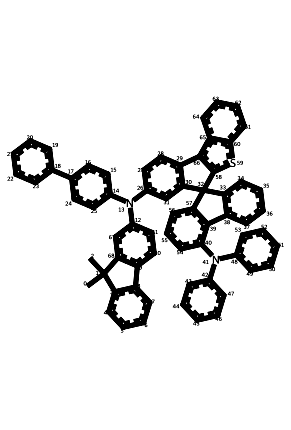 CC1(C)c2ccccc2-c2ccc(N(c3ccc(-c4ccccc4)cc3)c3ccc4c(c3)C3(c5ccccc5-c5c(N(c6ccccc6)c6ccccc6)cccc53)c3sc5ccccc5c3-4)cc21